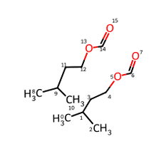 CC(C)CCOC=O.CC(C)CCOC=O